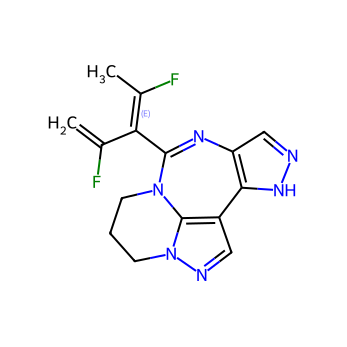 C=C(F)/C(C1=Nc2cn[nH]c2-c2cnn3c2N1CCC3)=C(\C)F